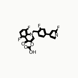 O=C(O)Oc1cn(Cc2ccc(-c3ccnc(F)c3)cc2F)c2c(F)ccc(F)c2c1=O